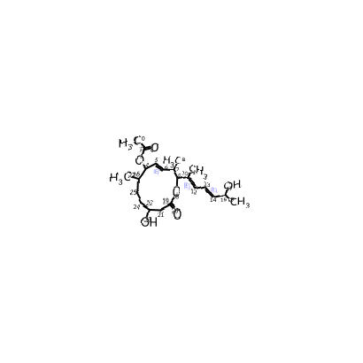 CC(=O)OC1/C=C/C(C)C(/C(C)=C/C=C/C(C)O)OC(=O)CC(O)CCC1C